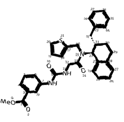 COC(=O)c1cccc(NC(=O)NCC(=O)N(Cc2cccs2)[C@@H]2c3ccccc3CC[C@H]2Cc2ccccc2)c1